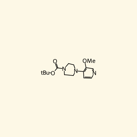 COc1cnccc1N1CCN(C(=O)OC(C)(C)C)CC1